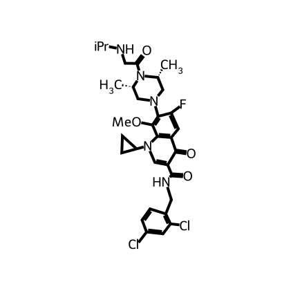 COc1c(N2C[C@@H](C)N(C(=O)CNC(C)C)[C@@H](C)C2)c(F)cc2c(=O)c(C(=O)NCc3ccc(Cl)cc3Cl)cn(C3CC3)c12